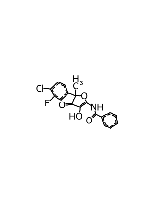 CC1(c2ccc(Cl)c(F)c2)OC(NC(=O)c2ccccc2)=C(O)C1=O